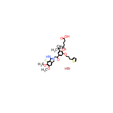 Br.COc1cc2c(c(F)c1OC)C(=N)N(CC(=O)c1cc(OCCCc3cccs3)c(OCCCCC(=O)O)c(C(C)(C)C)c1)C2